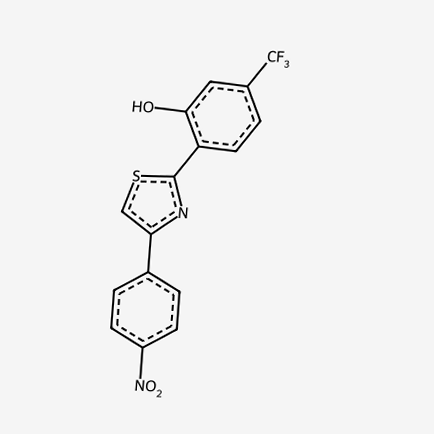 O=[N+]([O-])c1ccc(-c2csc(-c3ccc(C(F)(F)F)cc3O)n2)cc1